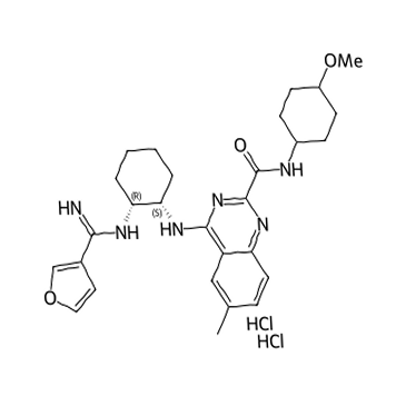 COC1CCC(NC(=O)c2nc(N[C@H]3CCCC[C@H]3NC(=N)c3ccoc3)c3cc(C)ccc3n2)CC1.Cl.Cl